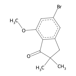 COc1cc(Br)cc2c1C(=O)C(C)(C)C2